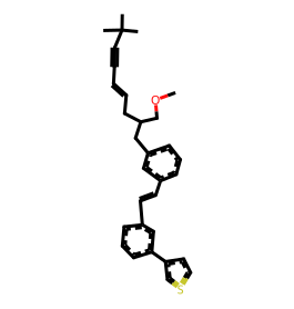 COCC(CC=CC#CC(C)(C)C)Cc1cccc(C=Cc2cccc(-c3ccsc3)c2)c1